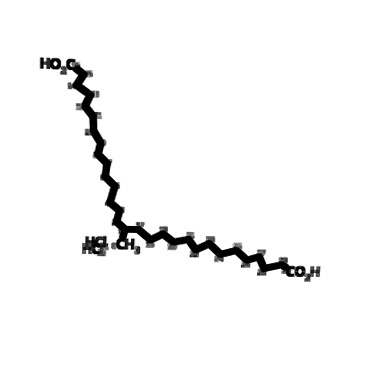 CC(CCCCCCCCCCCCCCC(=O)O)CCCCCCCCCCCCCC(=O)O.Cl.Cl